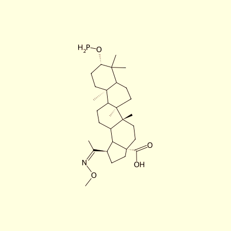 CO/N=C(/C)[C@@H]1CC[C@]2(C(=O)O)CC[C@]3(C)C(CCC4[C@@]5(C)CC[C@H](OP)C(C)(C)C5CC[C@]43C)C12